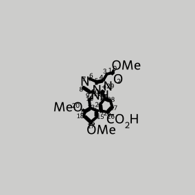 COC(=O)CC1=C2C=NC=C[N+]2(NCc2ccc(OC)cc2OC)C(c2ccc(C(=O)O)cc2)=N1